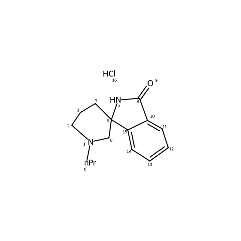 CCCN1CCCC2(C1)NC(=O)c1ccccc12.Cl